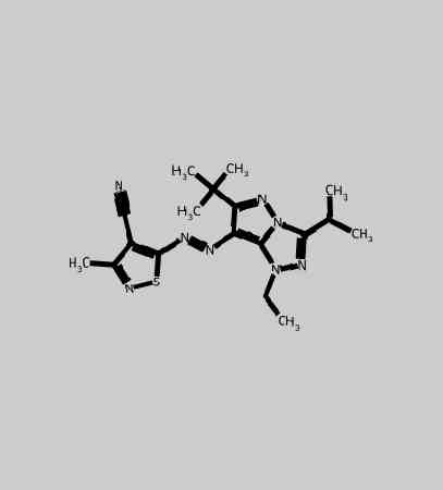 CCn1nc(C(C)C)n2nc(C(C)(C)C)c(N=Nc3snc(C)c3C#N)c12